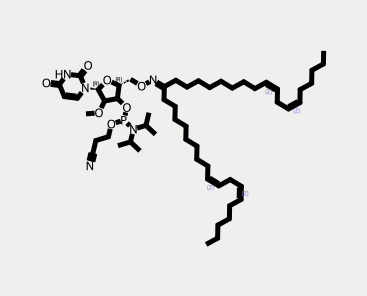 CCCCC/C=C\C/C=C\CCCCCCCCC(CCCCCCCC/C=C\C/C=C\CCCCC)=NOC[C@H]1O[C@@H](n2ccc(=O)[nH]c2=O)C(OC)C1OP(OCCC#N)N(C(C)C)C(C)C